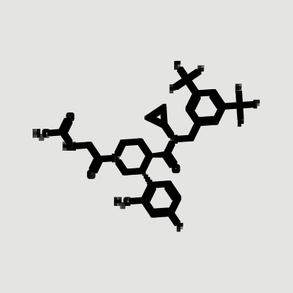 CC(=O)NCC(=O)N1CC[C@@H](C(=O)N(Cc2cc(C(F)(F)F)cc(C(F)(F)F)c2)C2CC2)[C@H](c2ccc(F)cc2C)C1